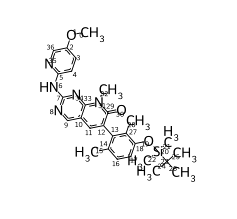 COc1ccc(Nc2ncc3cc(-c4c(C)ccc(O[Si](C)(C)C(C)(C)C)c4C)c(=O)n(C)c3n2)nc1